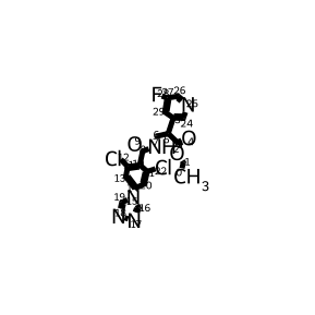 CCOC(=O)C(CNC(=O)c1c(Cl)cc(-n2cnnc2)cc1Cl)c1cncc(F)c1